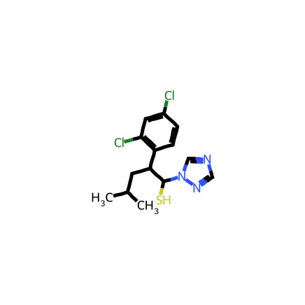 CC(C)CC(c1ccc(Cl)cc1Cl)C(S)n1cncn1